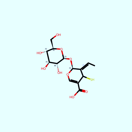 C/C=C1\C(S)C(C(=O)O)=CO[C@H]1O[C@@H]1O[C@H](CO)[C@@H](O)[C@H](O)[C@H]1O